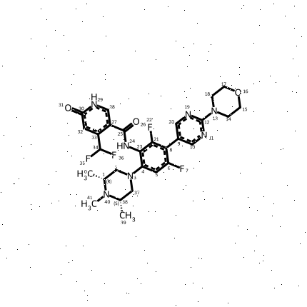 C[C@@H]1CN(c2cc(F)c(-c3cnc(N4CCOCC4)nc3)c(F)c2NC(=O)c2c[nH]c(=O)cc2C(F)F)C[C@H](C)N1C